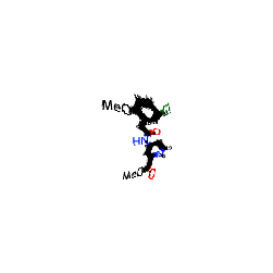 COC(=O)c1cc(NC(=O)Cc2cc(Cl)ccc2OC)ccn1